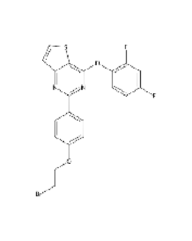 Fc1ccc(Oc2nc(-c3ccc(OCCBr)cc3)nc3ccsc23)c(F)c1